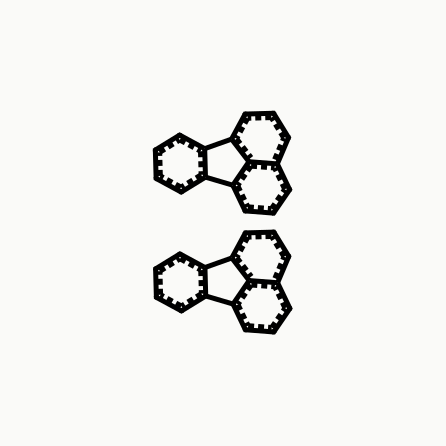 c1ccc2c(c1)-c1cccc3cccc-2c13.c1ccc2c(c1)-c1cccc3cccc-2c13